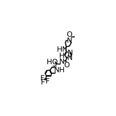 CC(=O)N1CCC(Nc2cc(C(=O)NCC(O)[C@@H]3Cc4ccc(C(F)(F)F)cc4CN3)ncn2)CC1